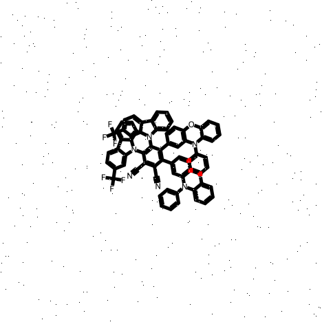 N#Cc1c(C#N)c(-n2c3ccccc3c3ccc(C(F)(F)F)cc32)c(-n2c3ccccc3c3ccc(C(F)(F)F)cc32)c(-c2ccc3c(c2)N(c2ccccc2)c2ccccc2O3)c1-c1ccc2c(c1)N(c1ccccc1)c1ccccc1O2